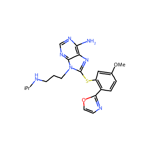 COc1ccc(-c2ncco2)c(Sc2nc3c(N)ncnc3n2CCCNC(C)C)c1